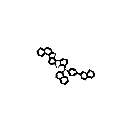 c1ccc2cc(-c3ccc(N(c4cccc5ccccc45)c4cccc5c4oc4ccc6c(sc7ccc8ccccc8c76)c45)cc3)ccc2c1